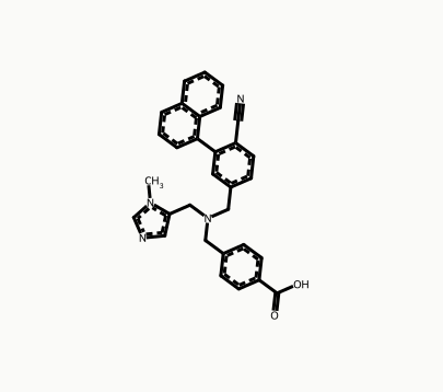 Cn1cncc1CN(Cc1ccc(C(=O)O)cc1)Cc1ccc(C#N)c(-c2cccc3ccccc23)c1